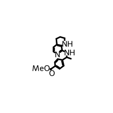 COC(=O)c1ccc(C(C)Nc2nccc3c2NCCC3)cc1